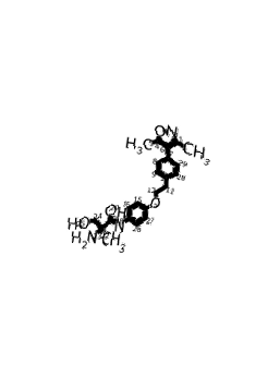 Cc1noc(C)c1-c1ccc(CCOc2ccc(NC(=O)C(C)(N)CO)cc2)cc1